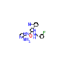 N#Cc1ccccc1-c1ccc(C(=O)NCc2cccnc2N)c(NCCc2cccc(F)c2)n1